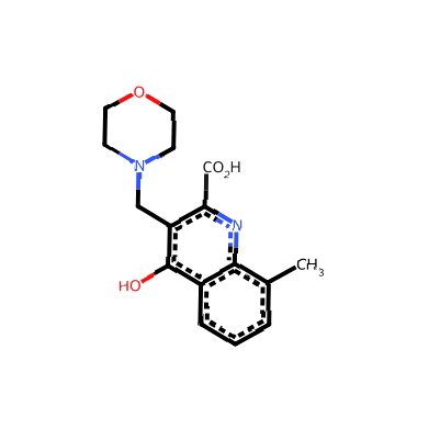 Cc1cccc2c(O)c(CN3CCOCC3)c(C(=O)O)nc12